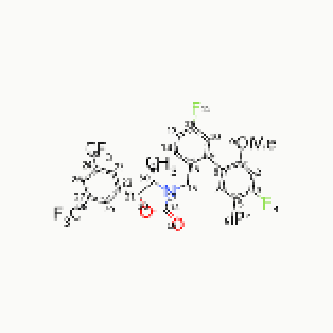 COc1cc(F)c(C(C)C)cc1-c1cc(F)ccc1CN1C(=O)O[C@H](c2cc(C(F)(F)F)cc(C(F)(F)F)c2)[C@@H]1C